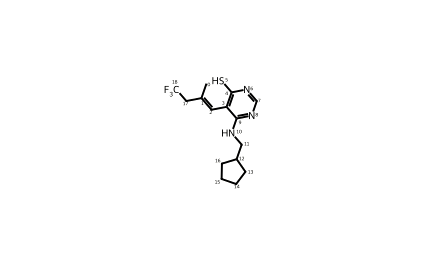 C/C(=C\c1c(S)ncnc1NCC1CCCC1)CC(F)(F)F